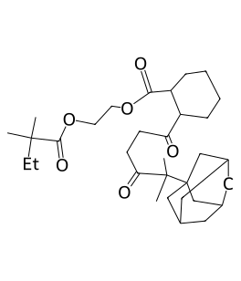 CCC(C)(C)C(=O)OCCOC(=O)C1CCCCC1C(=O)CCC(=O)C(C)(C)C12CC3CC(CC(C3)C1)C2